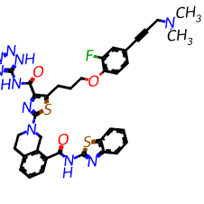 CN(C)CC#Cc1ccc(OCCCc2sc(N3CCc4cccc(C(=O)Nc5nc6ccccc6s5)c4C3)nc2C(=O)Nc2nnn[nH]2)c(F)c1